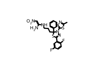 Cc1nnc(N2N=C(c3cc(F)ccc3F)SC2(CCCN/C(N)=C/[N+](=O)[O-])c2ccccc2)s1